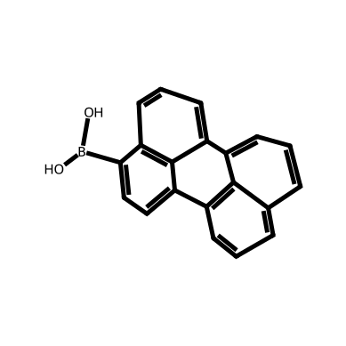 OB(O)c1ccc2c3cccc4cccc(c5cccc1c52)c43